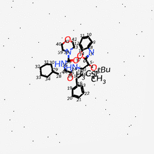 CC(C)(C)[Si](C)(C)OC(c1nc2ccccc2o1)[C@H](CCc1ccccc1)NC(=O)[C@H](CC1CCCCC1)NC(=O)N1CCOCC1